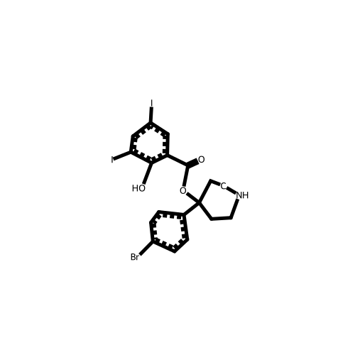 O=C(OC1(c2ccc(Br)cc2)CCNCC1)c1cc(I)cc(I)c1O